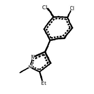 CCc1cc(-c2ccc(Cl)c(Cl)c2)nn1C